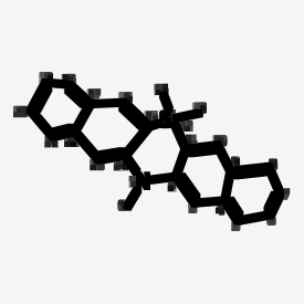 CN1c2cc3ccccc3cc2[Si](C)(C)c2cc3ccccc3cc21